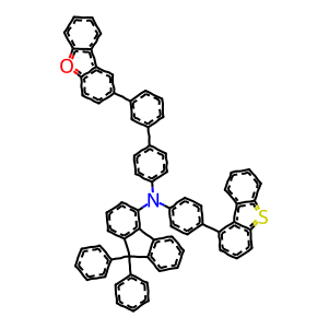 c1ccc(C2(c3ccccc3)c3ccccc3-c3c(N(c4ccc(-c5cccc(-c6ccc7oc8ccccc8c7c6)c5)cc4)c4ccc(-c5cccc6sc7ccccc7c56)cc4)cccc32)cc1